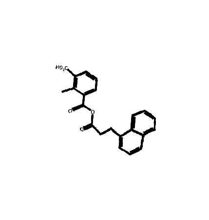 Cc1c(C(=O)O)cccc1C(=O)OC(=O)CCc1cccc2ccccc12